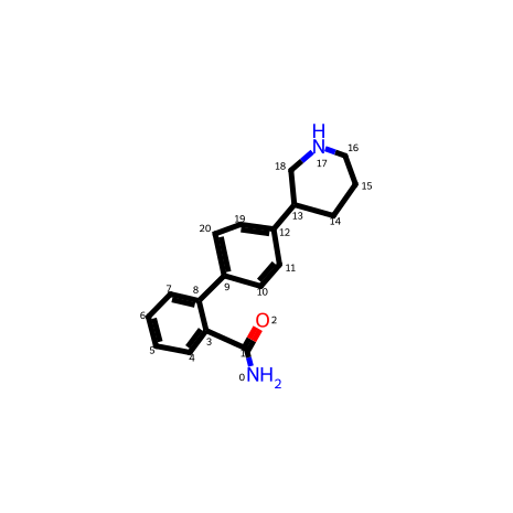 NC(=O)c1ccccc1-c1ccc(C2CCCNC2)cc1